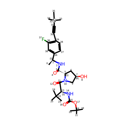 C[C@H](NC(=O)[C@@H]1C[C@@H](O)CN1C(=O)[C@@H](NC(=O)OC(C)(C)C)C(C)(C)C)c1ccc(C#C[Si](C)(C)C)c(F)c1